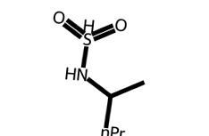 [CH2]CCC(C)N[SH](=O)=O